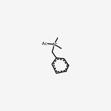 CC(=O)[N+](C)(C)Cc1ccccc1